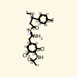 C/N=C(\CC(=O)/N=C(\N)Cc1cc(Cl)c(NC(C)=O)c(Cl)c1)c1ccc(F)cc1